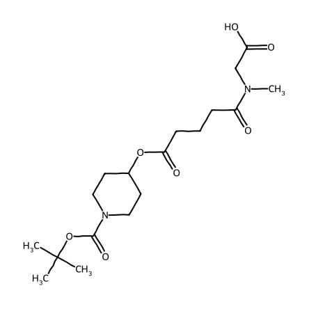 CN(CC(=O)O)C(=O)CCCC(=O)OC1CCN(C(=O)OC(C)(C)C)CC1